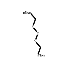 CCCCCCCCCCSOSCCCCCCCCCC